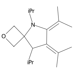 CC(C)=C1C(=C(C)C)N(C(C)C)C2(COC2)C1C(C)C